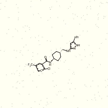 CCCc1cc(NC[C@H]2CC[C@H](NC(=O)c3cc(C(F)(F)F)ccc3Cl)CC2)n[nH]1